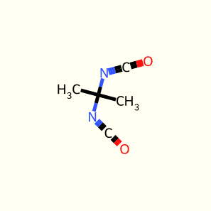 CC(C)(N=C=O)N=C=O